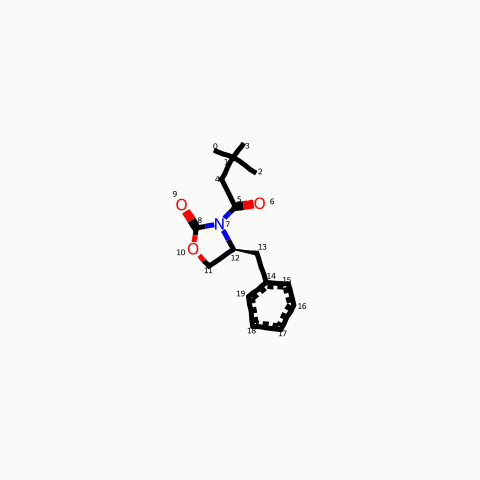 CC(C)(C)CC(=O)N1C(=O)OC[C@@H]1Cc1ccccc1